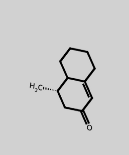 C[C@H]1CC(=O)C=C2CCCCC21